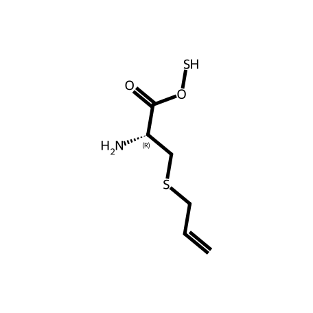 C=CCSC[C@H](N)C(=O)OS